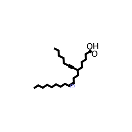 CCCCCC#CC(CC/C=C\CCCCCCCC)CCCCC(=O)O